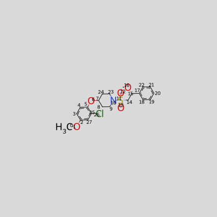 COc1ccc(OC2CCN(S(=O)(=O)C[C@H]([O])c3ccccc3)CC2)c(Cl)c1